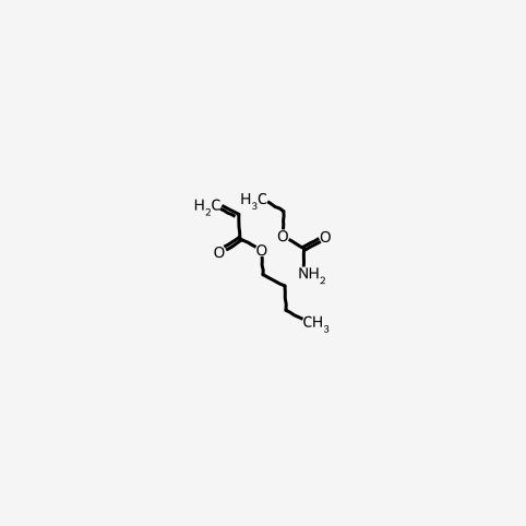 C=CC(=O)OCCCC.CCOC(N)=O